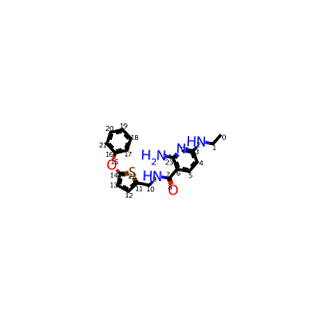 CCNc1ccc(C(=O)NCc2ccc(Oc3ccccc3)s2)c(N)n1